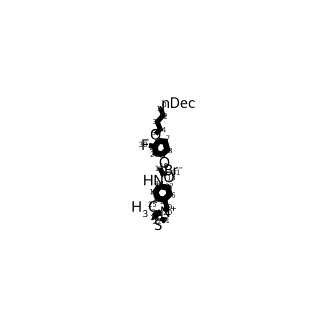 CCCCCCCCCCCCCCOc1ccc(OCC(=O)Nc2ccc(C[n+]3cscc3C)cc2)cc1F.[Br-]